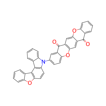 O=c1c2ccccc2oc2cc3c(=O)c4cc(-n5c6ccccc6c6c7c(ccc65)oc5ccccc57)ccc4oc3cc12